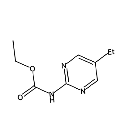 CCc1cnc(NC(=O)OCI)nc1